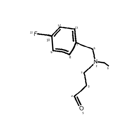 CN(CCC=O)Cc1ccc(F)cc1